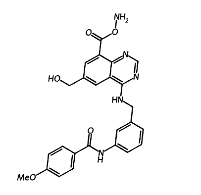 COc1ccc(C(=O)Nc2cccc(CNc3ncnc4c(C(=O)ON)cc(CO)cc34)c2)cc1